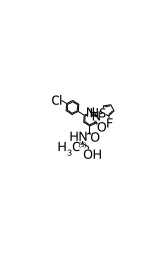 C[C@@H](CO)NC(=O)c1cc(-c2ccc(Cl)cc2)nn([SH]2C=CC=C2F)c1=O